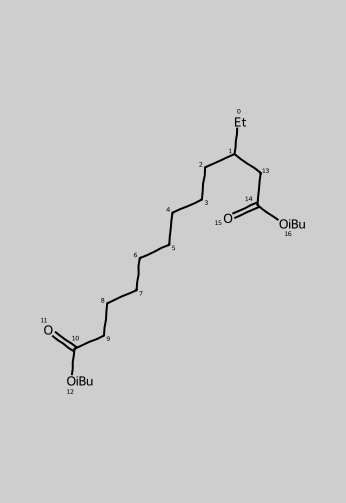 CCC(CCCCCCCCC(=O)OCC(C)C)CC(=O)OCC(C)C